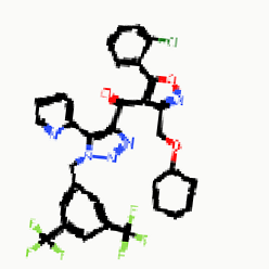 O=C(c1nnn(Cc2cc(C(F)(F)F)cc(C(F)(F)F)c2)c1-c1ccccn1)c1c(COC2CCCCC2)noc1-c1ccccc1Cl